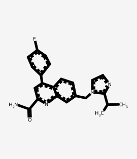 CC(C)c1nccn1Cc1ccc2c(-c3ccc(F)cc3)cc(C(N)=O)nc2c1